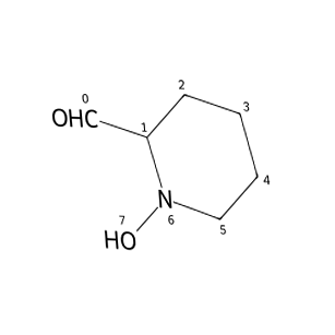 O=CC1CCCCN1O